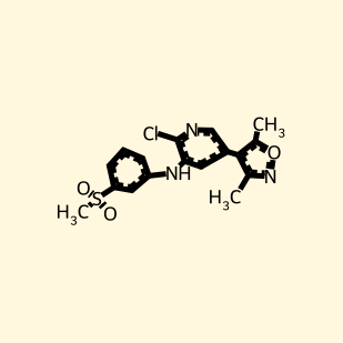 Cc1noc(C)c1-c1cnc(Cl)c(Nc2cccc(S(C)(=O)=O)c2)c1